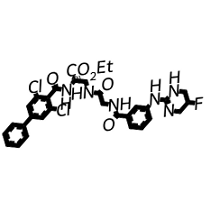 CCOC(=O)[C@@H](CNC(=O)CNC(=O)c1cccc(NC2=NCC(F)CN2)c1)NC(=O)c1c(Cl)cc(-c2ccccc2)cc1Cl